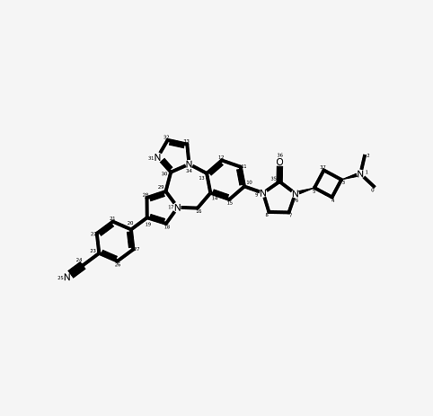 CN(C)[C@H]1C[C@@H](N2CCN(c3ccc4c(c3)Cn3cc(-c5ccc(C#N)cc5)cc3-c3nccn3-4)C2=O)C1